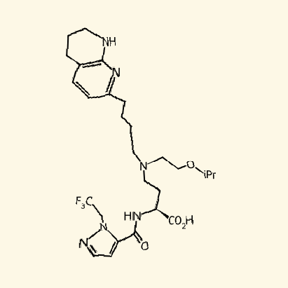 CC(C)OCCN(CCCCc1ccc2c(n1)NCCC2)CC[C@H](NC(=O)c1ccnn1CC(F)(F)F)C(=O)O